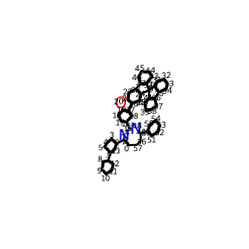 C1=C(c2cccc(-c3ccccc3)c2)/N=C(c2ccc3oc4cc5c(cc4c3c2)C2(c3ccccc3-c3ccccc32)c2ccccc2-5)\N=C(\c2ccccc2)CC\1